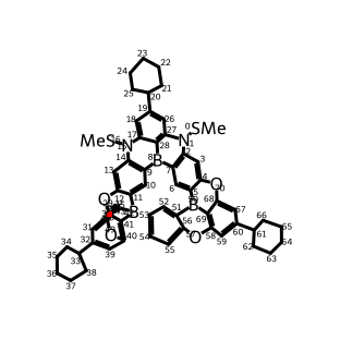 CSN1c2cc3c(cc2B2c4cc5c(cc4N(SC)c4cc(C6CCCCC6)cc1c42)Oc1cc(C2CCCCC2)cc2c1B5c1ccccc1O2)B1c2ccccc2Oc2cc(C4CCCCC4)cc(c21)O3